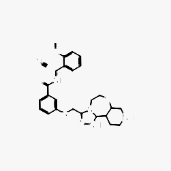 COc1ccccc1[C@@H](C#N)NC(=O)c1cccc(NCC2NNC3C4CCNCC4OCCN23)c1